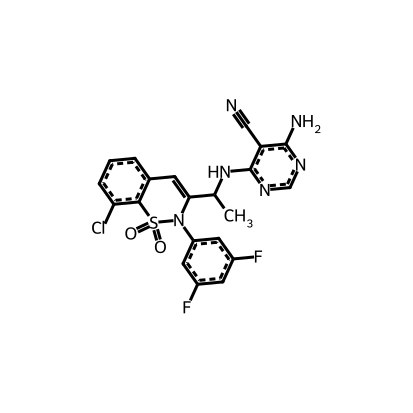 CC(Nc1ncnc(N)c1C#N)C1=Cc2cccc(Cl)c2S(=O)(=O)N1c1cc(F)cc(F)c1